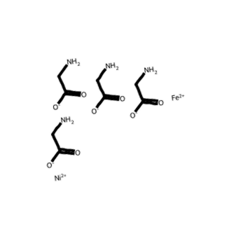 NCC(=O)[O-].NCC(=O)[O-].NCC(=O)[O-].NCC(=O)[O-].[Fe+2].[Ni+2]